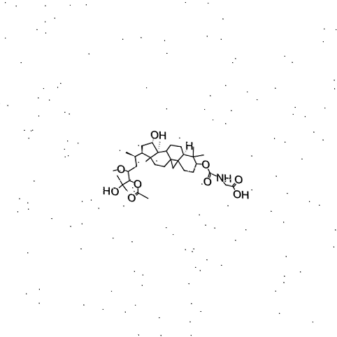 COC(C[C@@H](C)[C@H]1C[C@H](O)[C@@]2(C)C3CC[C@H]4C(C)(C)C(OC(=O)NCC(=O)O)CCC45CC35CCC12C)C(OC(C)=O)C(C)(C)O